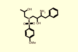 COc1ccc(S(=O)(=O)N(CC(C)O)CC(O)C(N)Cc2ccccc2)cc1